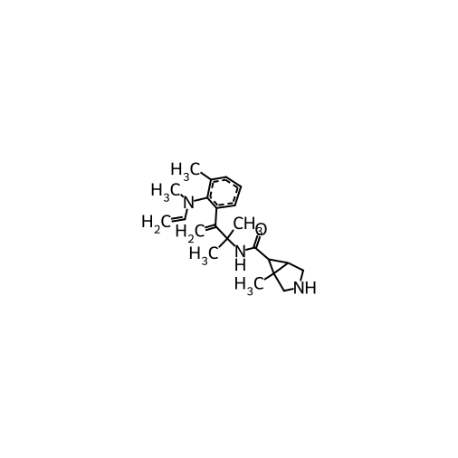 C=CN(C)c1c(C)cccc1C(=C)C(C)(C)NC(=O)C1C2CNCC21C